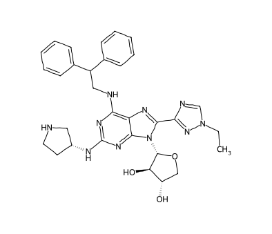 CCn1cnc(-c2nc3c(NCC(c4ccccc4)c4ccccc4)nc(N[C@@H]4CCNC4)nc3n2[C@@H]2OC[C@H](O)[C@H]2O)n1